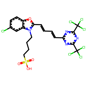 O=S(=O)(O)CCCC[n+]1c(C=CC=Cc2nc(C(Cl)(Cl)Cl)nc(C(Cl)(Cl)Cl)n2)oc2ccc(Cl)cc21